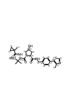 CSC(C)(C)[C@H](NC(=O)C1(F)CC1)C(=O)N1C[C@@H](O)C[C@H]1C(=O)NCc1ccc(-c2scnc2C)cc1